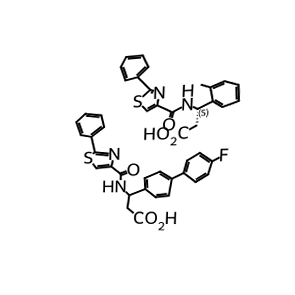 Cc1ccccc1[C@H](CC(=O)O)NC(=O)c1csc(-c2ccccc2)n1.O=C(O)CC(NC(=O)c1csc(-c2ccccc2)n1)c1ccc(-c2ccc(F)cc2)cc1